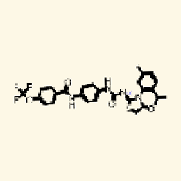 Cc1ccc(C(C)C)c(N2C(=O)CS/C2=N\C(=O)Nc2ccc(NC(=O)c3ccc(OC(F)(F)F)cc3)cc2)c1